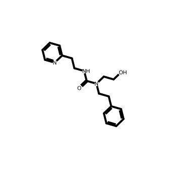 O=C(NCCc1ccccn1)N(CCO)CCc1ccccc1